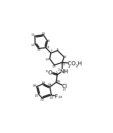 O=C(NC1(C(=O)O)CCC(c2ccccc2)CC1)C(Cl)c1ccccc1F